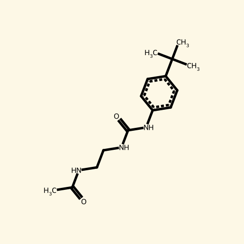 CC(=O)NCCNC(=O)Nc1ccc(C(C)(C)C)cc1